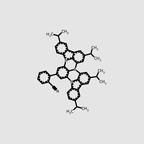 CC(C)c1ccc2c(c1)c1cc(C(C)C)cc3c1n2-c1cc(-c2ccccc2C#N)cc2c1B3c1cc(C(C)C)cc3c4cc(C(C)C)ccc4n-2c13